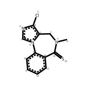 CN1Cc2c(Cl)ncn2-c2ccccc2C1=S